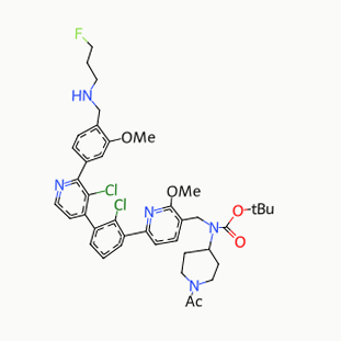 COc1cc(-c2nccc(-c3cccc(-c4ccc(CN(C(=O)OC(C)(C)C)C5CCN(C(C)=O)CC5)c(OC)n4)c3Cl)c2Cl)ccc1CNCCCF